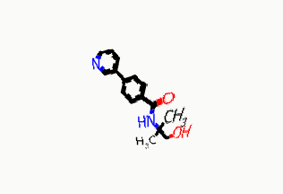 CC(C)(CO)NC(=O)c1ccc(-c2cccnc2)cc1